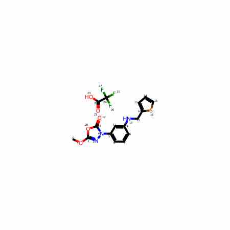 COc1nn(-c2cccc(NCc3cccs3)c2)c(=O)o1.O=C(O)C(F)(F)F